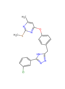 CSc1nc(C)cc(Oc2ccc(Cc3nnc(-c4cccc(Cl)c4)[nH]3)cc2)n1